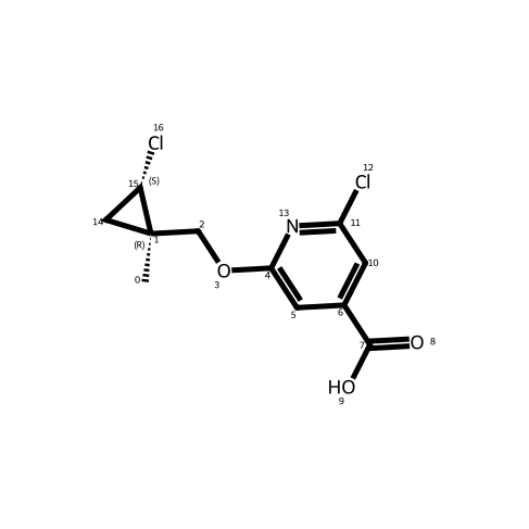 C[C@]1(COc2cc(C(=O)O)cc(Cl)n2)C[C@@H]1Cl